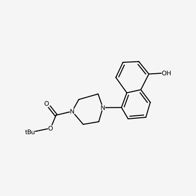 CC(C)(C)OC(=O)N1CCN(c2cccc3c(O)cccc23)CC1